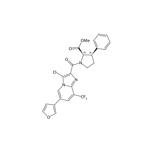 COC(=O)[C@H]1[C@@H](c2ccccc2)CCN1C(=O)c1nc2c(C(F)(F)F)cc(-c3ccoc3)cn2c1Cl